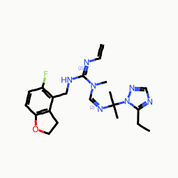 C=C/N=C(/NCc1c(F)ccc2c1CCO2)N(C)/C=N\C(C)(C)n1ncnc1CC